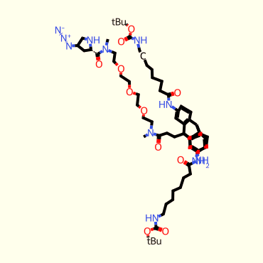 CN(CCOCCOCCOCCN(C)C(=O)[C@@H]1CC(N=[N+]=[N-])CN1)C(=O)CCC12c3cc(N)ccc3C(c3ccc(NC(=O)CCCCCCCNC(=O)OC(C)(C)C)cc31)c1ccc(NC(=O)CCCCCCCNC(=O)OC(C)(C)C)cc12